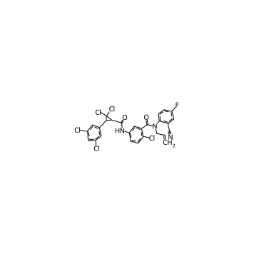 C=CCN(C(=O)c1cc(NC(=O)C2C(c3cc(Cl)cc(Cl)c3)C2(Cl)Cl)ccc1Cl)c1ccc(F)cc1C#N